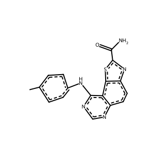 Cc1ccc(Nc2ncnc3ccc4nc(C(N)=O)sc4c23)cc1